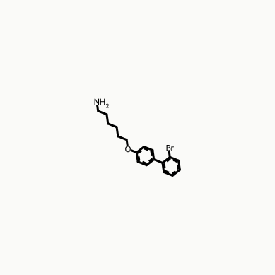 NCCCCCCOc1ccc(-c2ccccc2Br)cc1